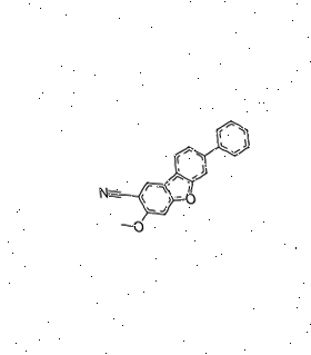 COc1cc2oc3cc(-c4ccccc4)ccc3c2cc1C#N